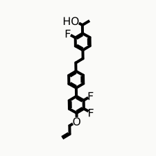 C=CCOc1ccc(-c2ccc(CCc3ccc(C(C)O)c(F)c3)cc2)c(F)c1F